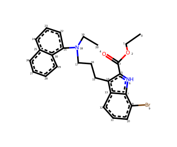 CCOC(=O)c1[nH]c2c(Br)cccc2c1CCCN(CC)c1cccc2ccccc12